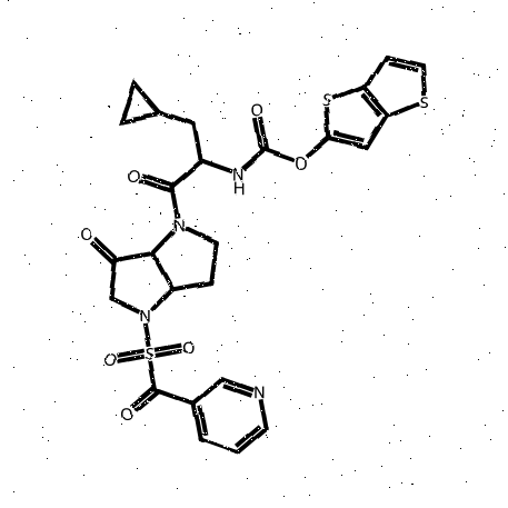 O=C(NC(CC1CC1)C(=O)N1CCC2C1C(=O)CN2S(=O)(=O)C(=O)c1cccnc1)Oc1cc2sccc2s1